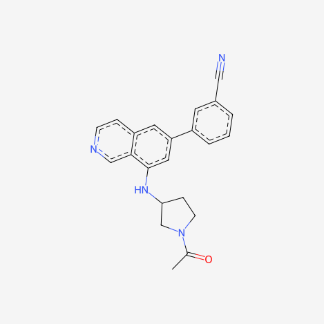 CC(=O)N1CCC(Nc2cc(-c3cccc(C#N)c3)cc3ccncc23)C1